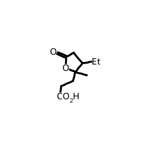 CCC1CC(=O)OC1(C)CCC(=O)O